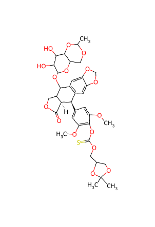 COc1cc([C@@H]2c3cc4c(cc3C(OC3OC5COC(C)OC5C(O)C3O)C3COC(=O)[C@@H]32)OCO4)cc(OC)c1OC(=S)OCC1COC(C)(C)O1